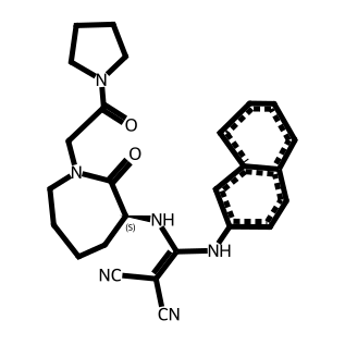 N#CC(C#N)=C(Nc1ccc2ccccc2c1)N[C@H]1CCCCN(CC(=O)N2CCCC2)C1=O